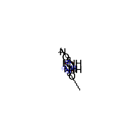 CCCCCCCCCCCOc1cccc(/C2=c3\cc/c([nH]3)=C/C3=NC(=C(/c4cccc(OCCCN(CCC)CCC)c4)c4ccc([nH]4)/C=C4/C=CC2N4)/C=C3)c1